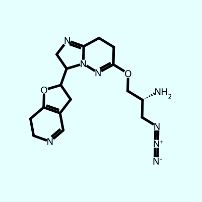 [N-]=[N+]=NC[C@@H](N)COC1=NN2C(=NCC2C2CC3=C(CCN=C3)O2)CC1